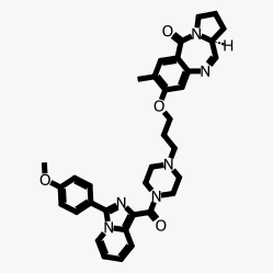 COc1ccc(-c2nc(C(=O)N3CCN(CCCOc4cc5c(cc4C)C(=O)N4CCC[C@H]4C=N5)CC3)c3ccccn23)cc1